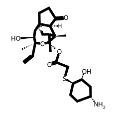 C=C[C@]1(C)C[C@@H](OC(=O)CS[C@@H]2CC[C@@H](N)C[C@H]2O)[C@]2(C)C(C)CC[C@]3(CCC(=O)[C@H]32)C[C@@H]1O